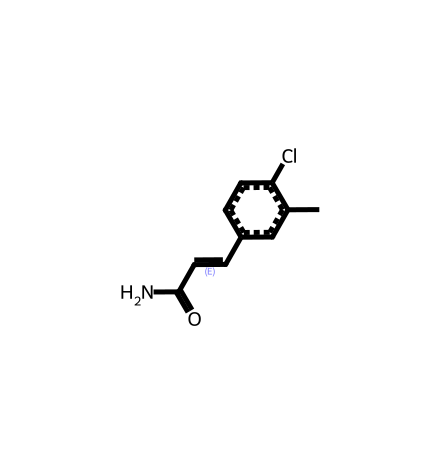 Cc1cc(/C=C/C(N)=O)ccc1Cl